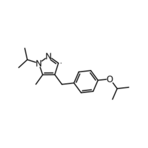 Cc1c(Cc2ccc(OC(C)C)cc2)[c]nn1C(C)C